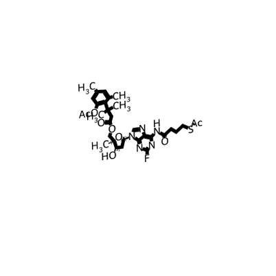 CC(=O)Oc1cc(C)cc(C)c1C(C)(C)CC(=O)OC[C@@]1(C)O[C@@H](n2cnc3c(NC(=O)CCCSC(C)=O)nc(F)nc32)C[C@@H]1O